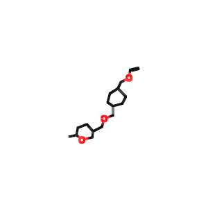 C=COCC1CCC(COCC2CCC(C)OC2)CC1